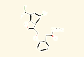 COC(=O)Cc1ccccc1OCc1coc2c(C(F)F)cc(Br)cc12